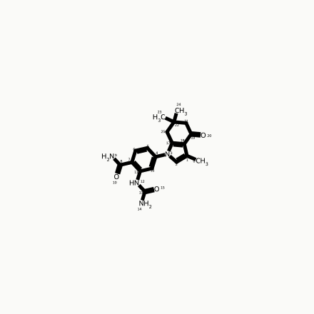 Cc1cn(-c2ccc(C(N)=O)c(NC(N)=O)c2)c2c1C(=O)CC(C)(C)C2